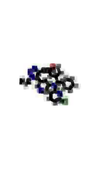 COc1nnn(C)c1-c1cnc2c3ccc(Cl)nc3n([C@H](c3ccccc3)C3CCOCC3)c2c1